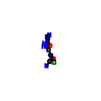 N#Cc1ccc(C(=O)N2CCC(c3ccc(NC(=O)NCc4ccn5ccnc5c4)cc3)CC2)c(Cl)c1